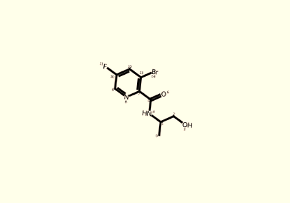 CC(CO)NC(=O)c1ncc(F)cc1Br